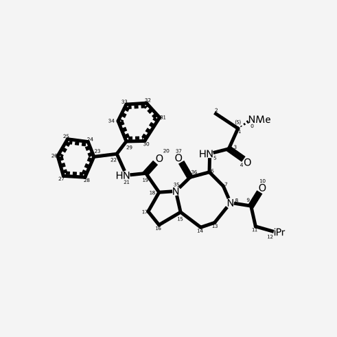 CN[C@@H](C)C(=O)NC1CN(C(=O)CC(C)C)CCC2CCC(C(=O)NC(c3ccccc3)c3ccccc3)N2C1=O